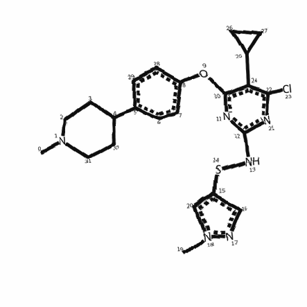 CN1CCC(c2ccc(Oc3nc(NSc4cnn(C)c4)nc(Cl)c3C3CC3)cc2)CC1